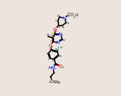 COCCNC(=O)c1ccc(Oc2ncnc(OC3CCN(C(=O)O)CC3)c2C)c(F)c1